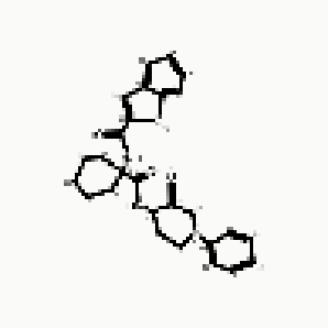 O=C(NC1(C(=O)NC2CCN(c3ccccc3)CC2=O)CCCCC1)c1cc2ccccc2o1